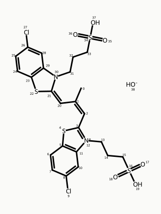 CC(=C/c1sc2ccc(Cl)cc2[n+]1CCCS(=O)(=O)O)/C=C1/Sc2ccc(Cl)cc2N1CCCS(=O)(=O)O.[OH-]